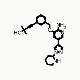 CC(C)(O)C#Cc1cccc(COc2cc(-c3cnn(C4CCCCN4)c3)cnc2N)c1